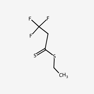 CCSC(=S)CC(F)(F)F